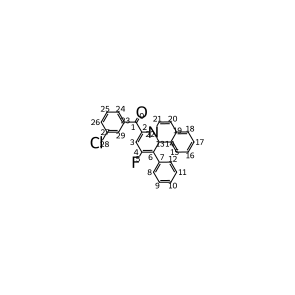 O=C(C1=CC(F)=C(c2ccccc2)C2c3ccccc3C=CN12)c1cccc(Cl)c1